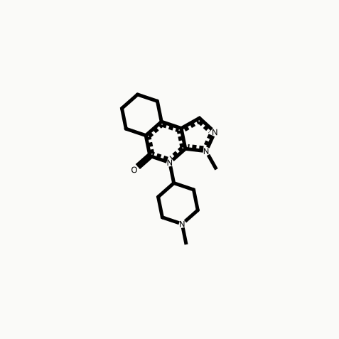 CN1CCC(n2c(=O)c3c(c4cnn(C)c42)CCCC3)CC1